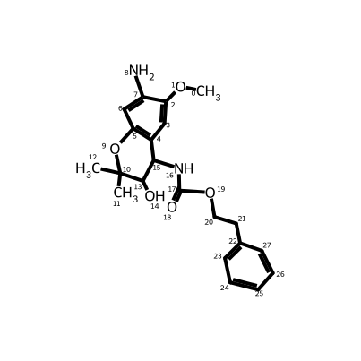 COc1cc2c(cc1N)OC(C)(C)C(O)C2NC(=O)OCCc1ccccc1